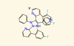 Fc1ccc(-c2cccnc2C2=C(c3ccncc3)NN(c3ncccc3-c3ccc(F)cc3F)N2c2ccccc2)c(F)c1.[Ir]